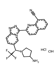 Cl.Cl.N#Cc1cccc2ccc(-c3nnc4ccc([C@@H](N5CCC(N)C5)C(F)(F)F)cn34)nc12